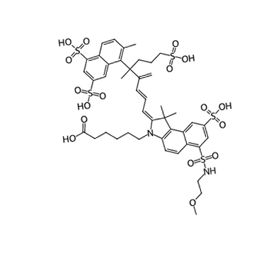 C=C(/C=C/C=C1/N(CCCCCC(=O)O)c2ccc3c(S(=O)(=O)NCCOC)cc(S(=O)(=O)O)cc3c2C1(C)C)C(C)(CCCS(=O)(=O)O)c1c(C)ccc2c(S(=O)(=O)O)cc(S(=O)(=O)O)cc12